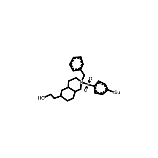 CC(C)(C)c1ccc(S(=O)(=O)[N+]2(Cc3ccccc3)CCC3CC(CCO)CCC3C2)cc1